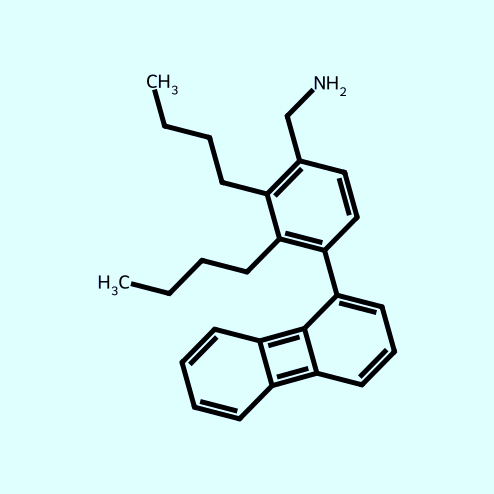 CCCCc1c(CN)ccc(-c2cccc3c2=c2ccccc2=3)c1CCCC